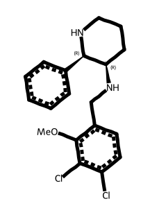 COc1c(CN[C@@H]2CCCN[C@@H]2c2ccccc2)ccc(Cl)c1Cl